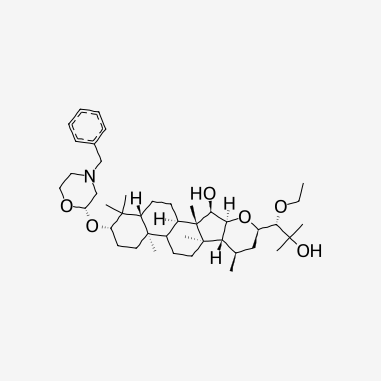 CCO[C@@H]([C@H]1C[C@@H](C)[C@H]2[C@H](O1)[C@H](O)[C@@]1(C)[C@@H]3CC[C@H]4C(C)(C)[C@@H](O[C@H]5CN(Cc6ccccc6)CCO5)CC[C@]4(C)C3CC[C@]21C)C(C)(C)O